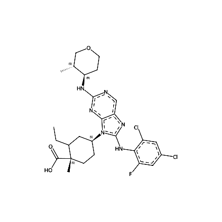 CCC1C[C@@H](n2c(Nc3c(F)cc(Cl)cc3Cl)nc3cnc(N[C@@H]4CCOC[C@H]4C)nc32)CC[C@]1(C)C(=O)O